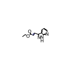 CCOC(=O)/C=C/c1n[nH]c2ncccc12